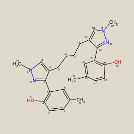 Cc1ccc(O)c(-c2nn(C)cc2CCCCc2cn(C)nc2-c2cc(C)ccc2O)c1